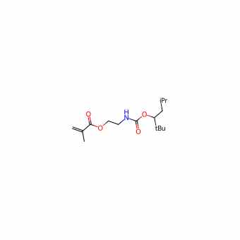 C=C(C)C(=O)OCCNC(=O)OC(CC(C)C)C(C)(C)C